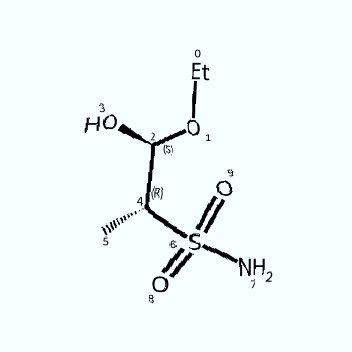 CCO[C@H](O)[C@@H](C)S(N)(=O)=O